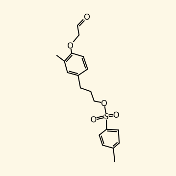 Cc1ccc(S(=O)(=O)OCCCc2ccc(OCC=O)c(C)c2)cc1